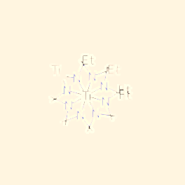 CC[N](C)[Ti]([N](C)C)([N](C)C)([N](C)C)([N](C)C)([N](C)CC)([N](C)CC)[N](C)CC.[Ti]